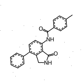 Cc1ccc(C(=O)Nc2ccc(-c3ccccc3)c3c2C(=O)NC3)cc1